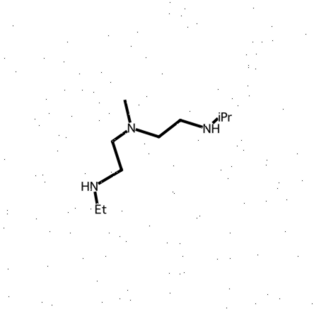 CCNCCN(C)CCNC(C)C